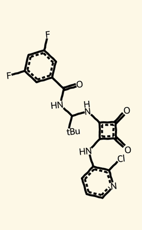 CC(C)(C)C(NC(=O)c1cc(F)cc(F)c1)Nc1c(Nc2cccnc2Cl)c(=O)c1=O